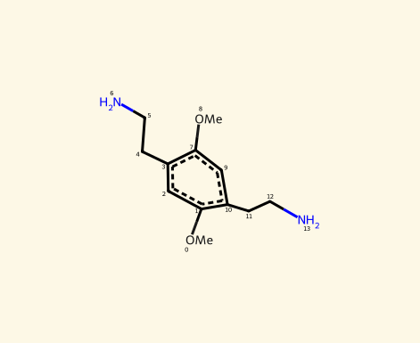 COc1cc(CCN)c(OC)cc1CCN